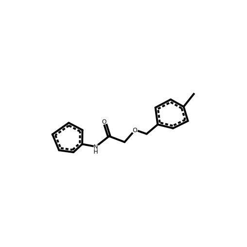 Cc1ccc(COCC(=O)Nc2ccccc2)cc1